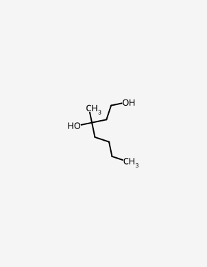 CCCCC(C)(O)CCO